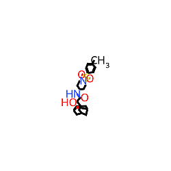 Cc1ccc(S(=O)(=O)N2CCC(NC(=O)C(O)C34CC5CC(CC(C5)C3)C4)CC2)cc1